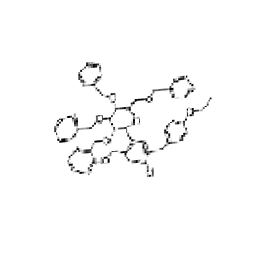 CCOc1ccc(Cc2cc([C@@H]3O[C@H](COCc4ccccc4)[C@@H](OCc4ccccc4)[C@H](OCc4ccccc4)[C@H]3OCc3ccccc3)c(CO)cc2Cl)cc1